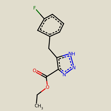 CCOC(=O)c1nn[nH]c1Cc1cccc(F)c1